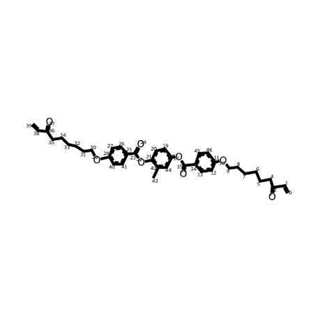 C=CC(=O)CCCCCCOc1ccc(C(=O)Oc2ccc(OC(=O)c3ccc(OCCCCCCC(=O)C=C)cc3)c(C)c2)cc1